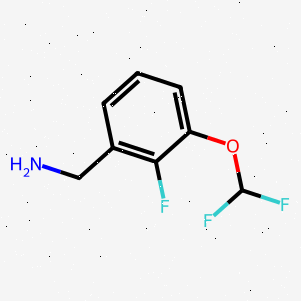 NCc1cccc(OC(F)F)c1F